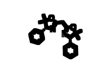 CC1(C)OC(CC2=N[C@H](c3ccccc3)C(C)(C)O2)=N[C@@H]1c1ccccc1